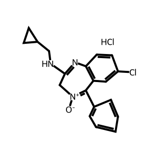 Cl.[O-][N+]1=C(c2ccccc2)c2cc(Cl)ccc2N=C(NCC2CC2)C1